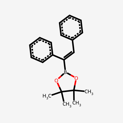 CC1(C)OB(C(=Cc2ccccc2)c2ccccc2)OC1(C)C